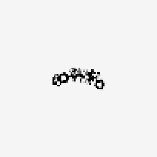 Cc1c(C(=O)Nc2c(C)n(C)n(C3CCCCC3)c2=O)noc1C1CCC2(CC1)OCCO2